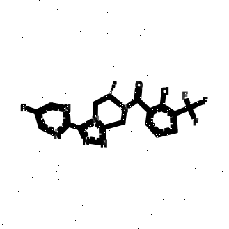 C[C@H]1Cn2c(nnc2-c2ncc(F)cn2)CN1C(=O)c1cccc(C(F)(F)F)c1Cl